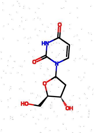 O=c1ccn([C]2C[C@H](O)[C@@H](CO)O2)c(=O)[nH]1